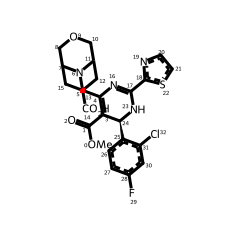 COC(=O)C1=C(CN2C3COCC2CC(C(=O)O)C3)N=C(c2nccs2)N[C@H]1c1ccc(F)cc1Cl